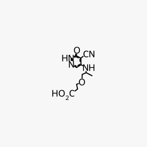 CC(COCCC(=O)O)Nc1cn[nH]c(=O)c1C#N